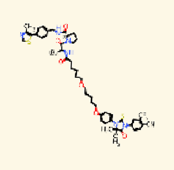 Cc1ncsc1-c1ccc(CNC(=O)[C@@H]2CCCN2C(=O)C(NC(=O)CCCCCOCCCCCOc2ccc(N3C(=S)N(c4ccc(C#N)c(C(F)(F)F)c4)C(=O)C3(C)C)cc2)C(C)(C)C)cc1